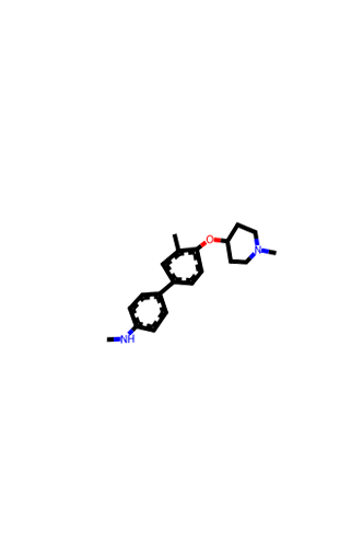 CNc1ccc(-c2ccc(OC3CCN(C)CC3)c(C)c2)cc1